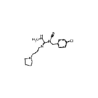 CNC(=NCCCN1CCCC1)N(C#N)Cc1ccc(Cl)cc1